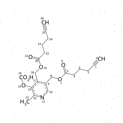 C#CCCCC(=O)OCc1cnc(C)c(OC(=O)O)c1COC(=O)CCCC#C